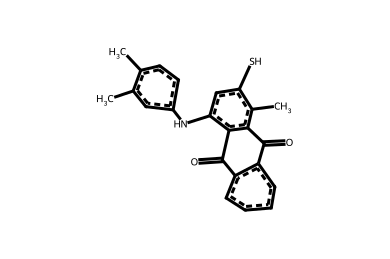 Cc1ccc(Nc2cc(S)c(C)c3c2C(=O)c2ccccc2C3=O)cc1C